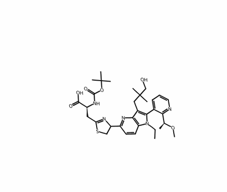 CCn1c(-c2cccnc2[C@H](C)OC)c(CC(C)(C)CO)c2nc(C3CSC(C[C@H](NC(=O)OC(C)(C)C)C(=O)O)=N3)ccc21